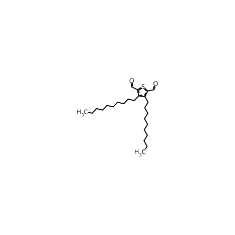 CCCCCCCCCCc1c(C=O)sc(C=O)c1CCCCCCCCCC